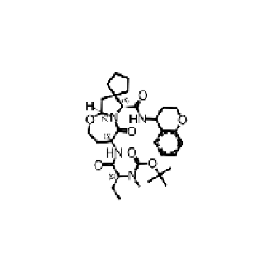 CC[C@@H](C(=O)N[C@H]1CCO[C@H]2CC3(CCCC3)[C@@H](C(=O)NC3CCOc4ccccc43)N2C1=O)N(C)C(=O)OC(C)(C)C